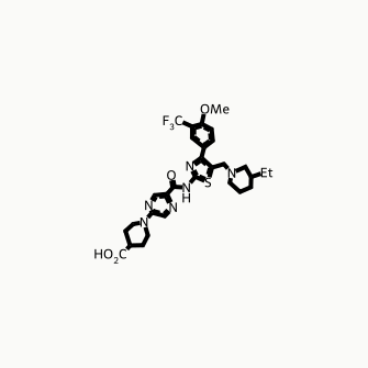 CCC1CCCN(Cc2sc(NC(=O)c3cnc(N4CCC(C(=O)O)CC4)cn3)nc2-c2ccc(OC)c(C(F)(F)F)c2)C1